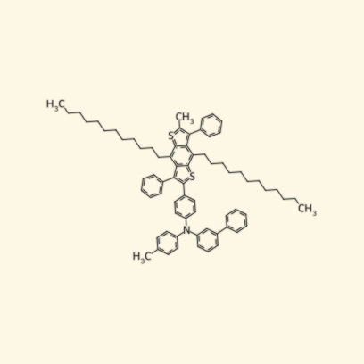 CCCCCCCCCCCCc1c2sc(-c3ccc(N(c4ccc(C)cc4)c4cccc(-c5ccccc5)c4)cc3)c(-c3ccccc3)c2c(CCCCCCCCCCCC)c2sc(C)c(-c3ccccc3)c12